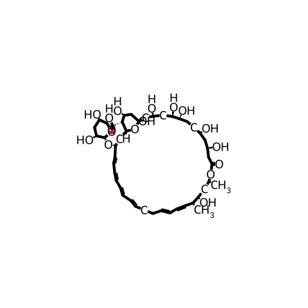 C[C@H]1C[C@H](O)[C@@H](C)/C=C/C=C/CC/C=C/C=C/C=C/C=C/[C@H](O[C@@H]2OC[C@@H](O)C[C@@H]2O)C[C@@H]2O[C@](O)(C[C@@H](O)C[C@@H](O)[C@H](O)CC[C@@H](O)C[C@@H](O)CC(=O)O1)C[C@H](O)[C@H]2C(=O)O